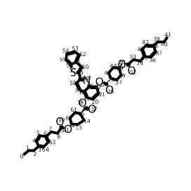 CCCc1ccc(CCC(=O)O[C@H]2CC[C@H](C(=O)Oc3ccc(OC(=O)[C@H]4CC[C@H](OC(=O)CCc5ccc(CCC)cc5)CC4)c4nc(-c5cc6ccccc6s5)ccc34)CC2)cc1